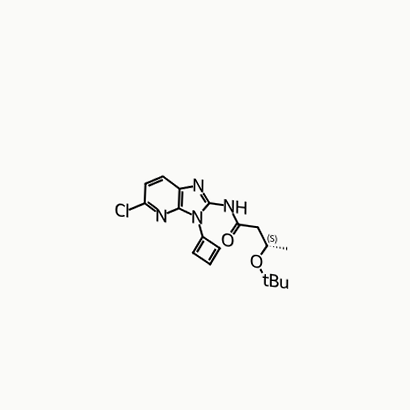 C[C@@H](CC(=O)Nc1nc2ccc(Cl)nc2n1C1=CC=C1)OC(C)(C)C